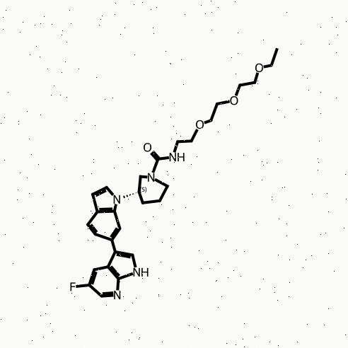 CCOCCOCCOCCNC(=O)N1CCC[C@H](n2ccc3ccc(-c4c[nH]c5ncc(F)cc45)cc32)C1